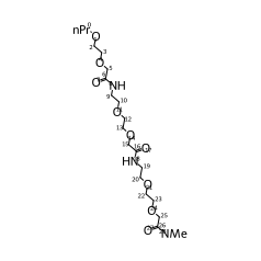 CCCOCCOCC(=O)NCCOCCOCC(=O)NCCOCCOCC(=O)NC